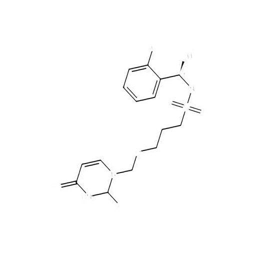 C[C@@H](NS(=O)(=O)CCCOCN1C=CC(=O)NC1O)c1ccccc1Cl